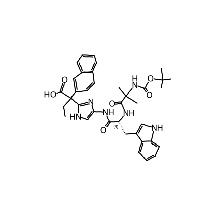 CCC(C(=O)O)(c1ccc2ccccc2c1)c1nc(NC(=O)[C@@H](Cc2c[nH]c3ccccc23)NC(=O)C(C)(C)NC(=O)OC(C)(C)C)c[nH]1